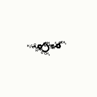 COC(=O)Nc1ccc2c(c1)NC(=O)[C@H](C)CCC[C@H](Nc1cn(-c3cccc(OC)c3F)nn1)c1nc-2c[nH]1